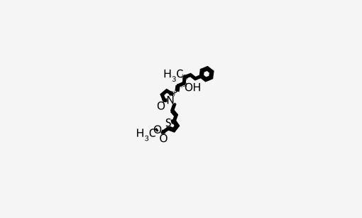 COC(=O)c1ccc(C=CCN2C(=O)CC[C@@H]2C=C[C@@H](O)[C@@H](C)CCc2ccccc2)s1